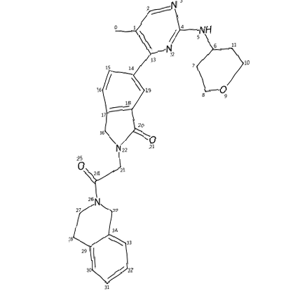 Cc1cnc(NC2CCOCC2)nc1-c1ccc2c(c1)C(=O)N(CC(=O)N1CCc3ccccc3C1)C2